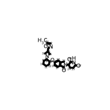 Cc1cnc(C2CN([C@@H]3CCCC[C@H]3Oc3ccc4c(c3)CN(C3CCC(=O)NC3=O)C4=O)C2)o1